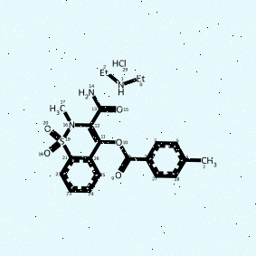 CCNCC.Cc1ccc(C(=O)OC2=C(C(N)=O)N(C)S(=O)(=O)c3ccccc32)cc1.Cl